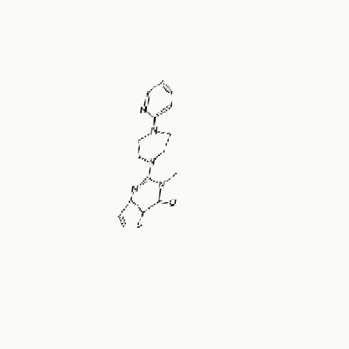 CN1C(=O)C2SC=CC2N=C1N1CCN(c2ccccn2)CC1